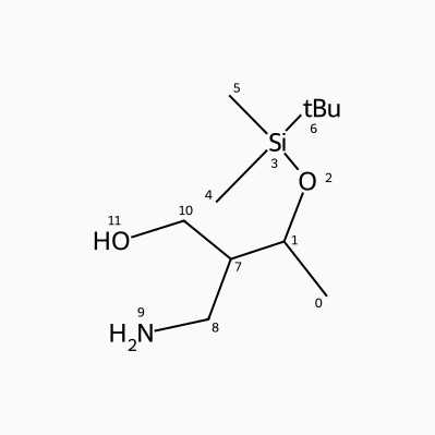 CC(O[Si](C)(C)C(C)(C)C)C(CN)CO